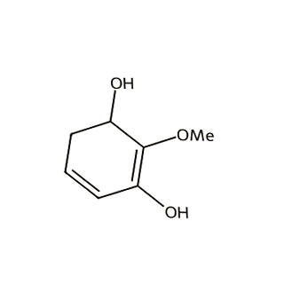 COC1=C(O)C=CCC1O